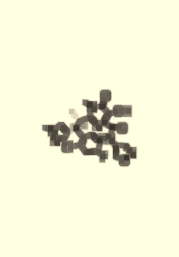 C[C@H](c1nc(C(=O)Nc2cnoc2)c(O)c(=O)n1C)[C@@H](c1cnn(C)c1)c1ccc(F)cc1Cl